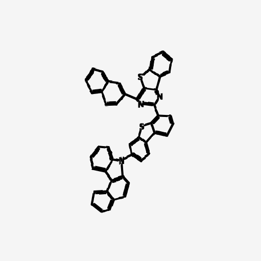 c1ccc2cc(-c3nc(-c4cccc5c4sc4cc(-n6c7ccccc7c7c8ccccc8ccc76)ccc45)nc4c3sc3ccccc34)ccc2c1